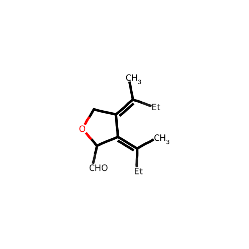 CCC(C)=C1COC(C=O)C1=C(C)CC